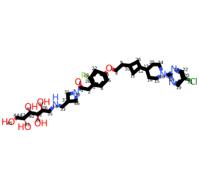 O=C(Cc1ccc(OCCC2CC(C3CCN(c4ncc(Cl)cn4)CC3)C2)cc1F)N1CC(CNC[C@H](O)[C@@H](O)[C@H](O)[C@H](O)CO)C1